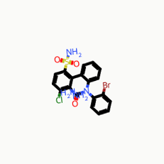 NC(=O)N(c1ccccc1Br)c1ccccc1-c1c(S(N)(=O)=O)ccc(Cl)c1N